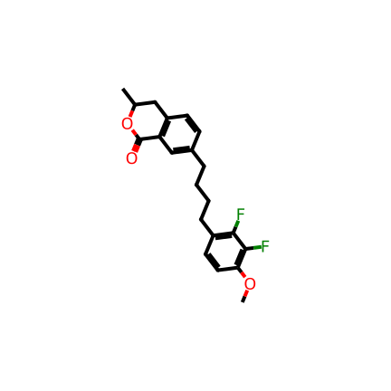 COc1ccc(CCCCc2ccc3c(c2)C(=O)OC(C)C3)c(F)c1F